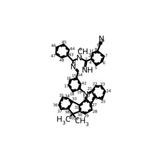 CN(C(=N)c1cccc(C#N)c1)C(/N=C/c1cccc(-n2c3ccccc3c3ccc4c(c32)-c2ccccc2C4(C)C)c1)c1ccccc1